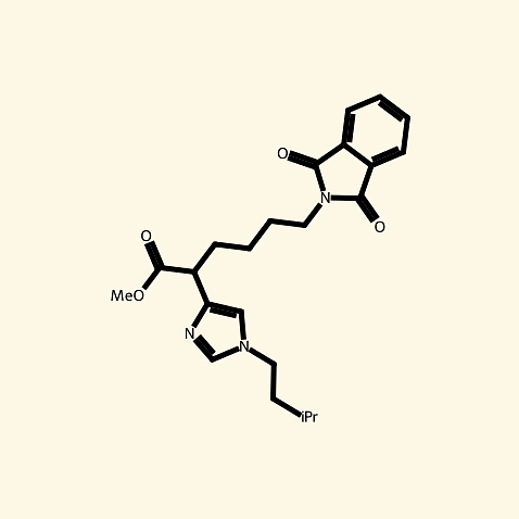 COC(=O)C(CCCCN1C(=O)c2ccccc2C1=O)c1cn(CCC(C)C)cn1